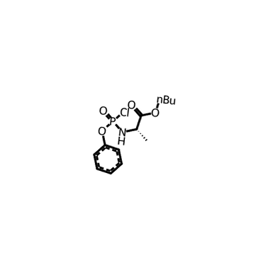 CCCCOC(=O)[C@H](C)NP(=O)(Cl)Oc1ccccc1